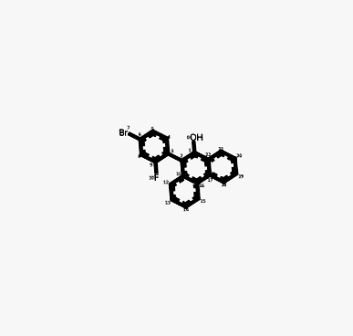 Oc1c(-c2ccc(Br)cc2F)c2ccccc2c2ccccc12